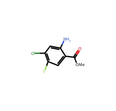 COC(=O)c1cc(F)c(Cl)cc1N